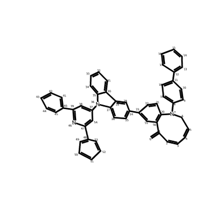 C=C1/C=C\C=C/CN(c2ccc(-c3ccccc3)cc2)c2ccc(-c3ccc4c(c3)c3ccccc3n4-c3cc(-c4ccccc4)nc(-c4ccccc4)c3)cc21